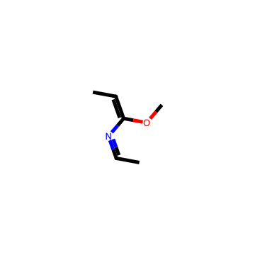 C/C=N\C(=C/C)OC